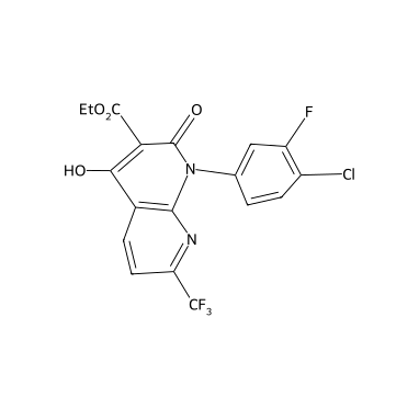 CCOC(=O)c1c(O)c2ccc(C(F)(F)F)nc2n(-c2ccc(Cl)c(F)c2)c1=O